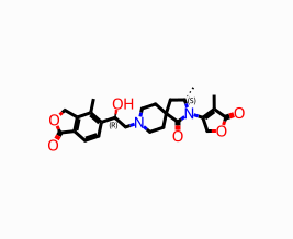 CC1=C(N2C(=O)C3(CCN(C[C@H](O)c4ccc5c(c4C)COC5=O)CC3)C[C@@H]2C)COC1=O